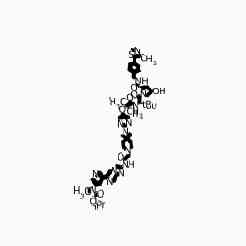 Cc1ncsc1-c1ccc(CNC(=O)[C@@H]2C[C@@H](O)CN2C(=O)[C@@H](NC(=O)C(C)(C)Oc2cnc(N3CC4(CCN(CC(=O)Nc5cn6cc(-c7cncc(N(C)C(=O)OC(C)C)c7)ncc6n5)CC4)C3)nc2)C(C)(C)C)cc1